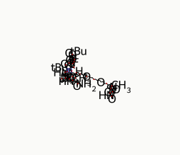 C/C(=C\C(=O)N[C@H]1CCc2cccc3c2N(C1=O)[C@H](C(=O)N[C@@H](CCC(N)=O)[C@@H](C)OCc1ccc(CCCOCCCCCCCOCCCc2ccc4c(c2)n(C)c(=O)n4C2CCC(=O)NC2=O)cc1)C3)c1ccc(C(F)(F)P(=O)(OCOC(=O)C(C)(C)C)OCOC(=O)C(C)(C)C)cc1